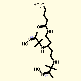 C/C(=N/O)C(C)(C)NCCC(CCNC(=O)CCCC(=O)O)NC(C)(C)/C(C)=N\O